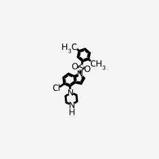 Cc1ccc(C)c(S(=O)(=O)n2ccc3c(N4CCNCC4)c(Cl)ccc32)c1